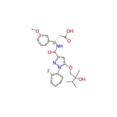 COc1cccc([C@H](CC(=O)O)NC(=O)c2cc(OCC(C)(O)C(C)C)n(-c3ccccc3F)n2)c1